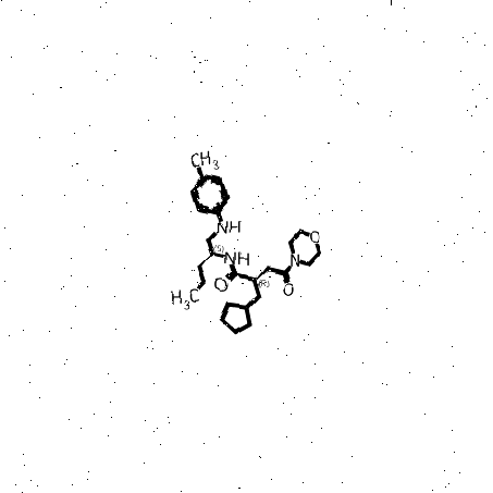 CCC[C@@H](CNc1ccc(C)cc1)NC(=O)[C@@H](CC(=O)N1CCOCC1)CC1CCCC1